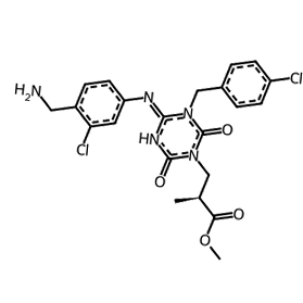 COC(=O)[C@@H](C)Cn1c(=O)[nH]/c(=N\c2ccc(CN)c(Cl)c2)n(Cc2ccc(Cl)cc2)c1=O